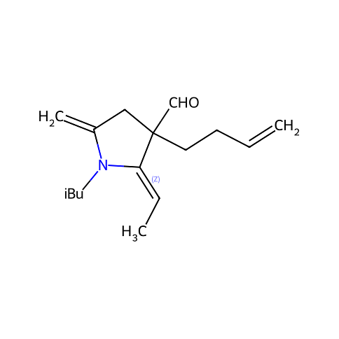 C=CCCC1(C=O)CC(=C)N(C(C)CC)/C1=C\C